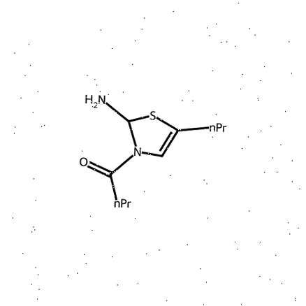 CCCC(=O)N1C=C(CCC)SC1N